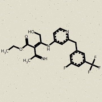 CCOC(=O)/C(C(C)=N)=C(\CO)Nc1ccnc(Cc2cc(F)cc(C(F)(F)F)c2)c1